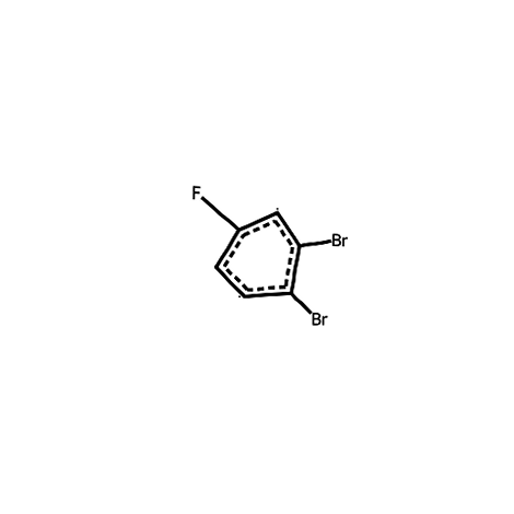 Fc1[c]c(Br)c(Br)[c]c1